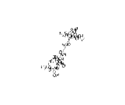 C/C1=C\CC[C@H](C)OC(=O)C[C@H](c2ccc(O)cc2)NC(=O)[C@@H](Cc2c[nH]c3ccccc23)N(C)C(=O)[C@H](CCCCNC(=O)CCCCCNC(=O)CCSCC[Si]2(C)c3cc(N(C)C)ccc3C3(OC(=O)c4ccccc43)c3ccc(N(C)C)cc32)NC(=O)[C@@H](C)C1